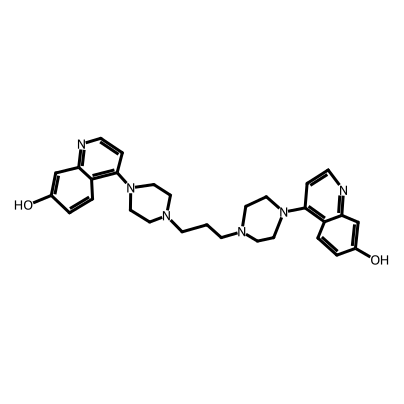 Oc1ccc2c(N3CCN(CCCN4CCN(c5ccnc6cc(O)ccc56)CC4)CC3)ccnc2c1